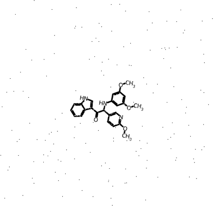 COc1cc(NC(C(=O)c2c[nH]c3ccccc23)c2ccc(OC)nc2)cc(OC)c1